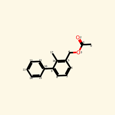 CC(=O)OCc1cccc(-c2ccccc2)c1C